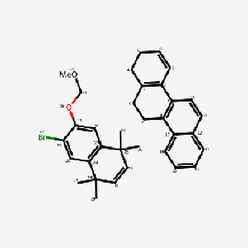 C1=CC2=C(CC1)CCc1c2ccc2ccccc12.COCOc1cc2c(cc1Br)C(C)(C)C=CC2(C)C